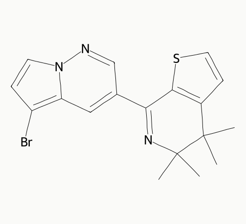 CC1(C)N=C(c2cnn3ccc(Br)c3c2)c2sccc2C1(C)C